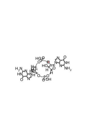 Nc1nc2c(ncn2[C@@H]2O[C@@H]3COP(=O)(O)CO[C@@H]4[C@H](O)[C@@H](COP(=O)(O)CO[C@@H]2[C@@H]3O)O[C@H]4n2cnc3c(=O)[nH]c(N)nc32)c(=O)[nH]1